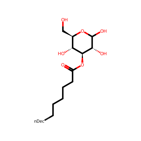 CCCCCCCCCCCCCCCC(=O)O[C@H]1[C@H](O)[C@@H](CO)OC(O)[C@@H]1O